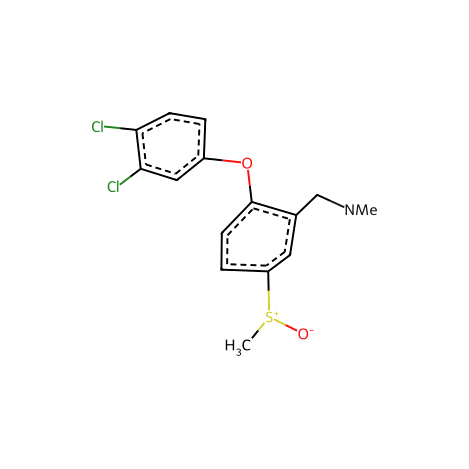 CNCc1cc([S+](C)[O-])ccc1Oc1ccc(Cl)c(Cl)c1